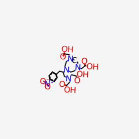 O=C(O)CN1CCN(CC(=O)O)CCN(C(Cc2ccc([N+](=O)[O-])cc2)CN(CC(=O)O)CC(=O)O)CC1